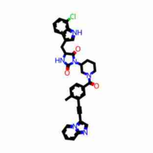 Cc1ccc(C(=O)N2CCCC(N3C(=O)NC(Cc4c[nH]c5c(Cl)cccc45)C3=O)C2)cc1C#Cc1cnc2ccccn12